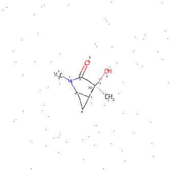 CN1C(=O)[C@@](C)(O)C2CC21